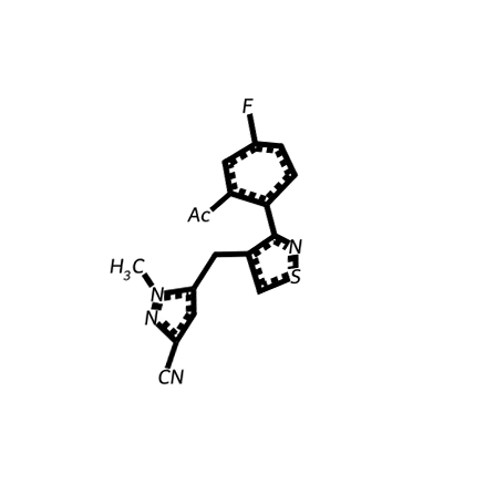 CC(=O)c1cc(F)ccc1-c1nscc1Cc1cc(C#N)nn1C